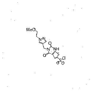 COCCn1cc(Cn2c(=O)[nH]c3sc(S(=O)(=O)Cl)cc3c2=O)cn1